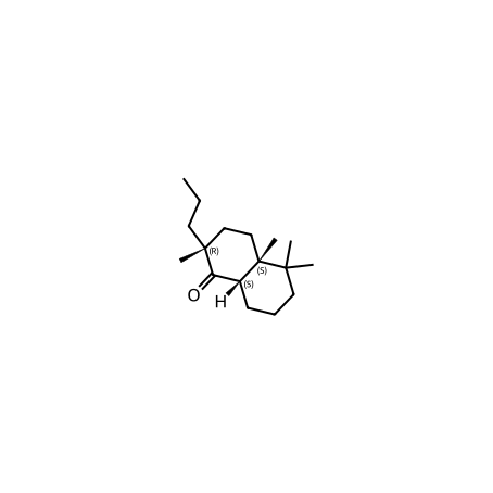 CCC[C@]1(C)CC[C@@]2(C)[C@H](CCCC2(C)C)C1=O